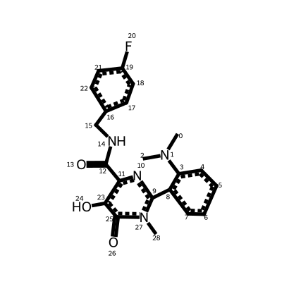 CN(C)c1ccccc1-c1nc(C(=O)NCc2ccc(F)cc2)c(O)c(=O)n1C